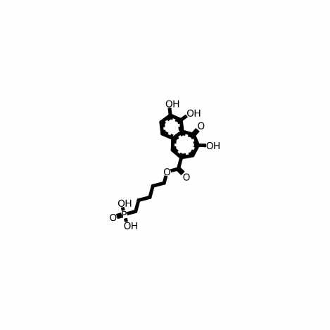 O=C(OCCCCCP(=O)(O)O)c1cc(O)c(=O)c2c(O)c(O)ccc2c1